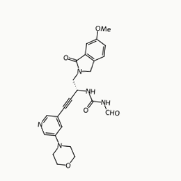 COc1ccc2c(c1)C(=O)N(C[C@@H](C#Cc1cncc(N3CCOCC3)c1)NC(=O)NC=O)C2